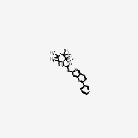 BC1(B)OC(B)(B)C(B)(B)N(CC(=O)Nc2cc3nc(-c4cccnc4)ccc3cn2)C1(B)B